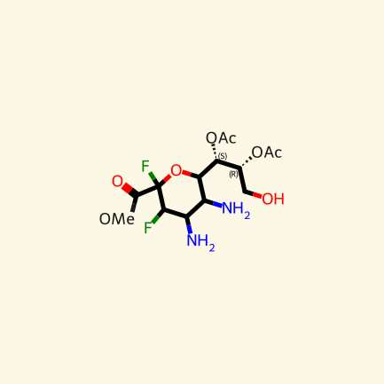 COC(=O)C1(F)OC([C@H](OC(C)=O)[C@@H](CO)OC(C)=O)C(N)C(N)C1F